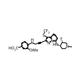 COc1cc(C(=O)O)ccc1NCC#Cc1nn2c(N[C@@H]3CCN(C)C[C@@H]3F)cccc2c1SC(F)(F)F